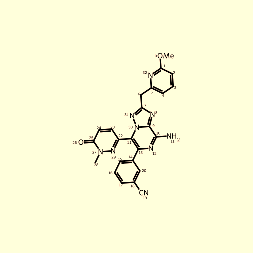 COc1cccc(Cc2nc3c(N)nc(-c4cccc(C#N)c4)c(-c4ccc(=O)n(C)n4)n3n2)n1